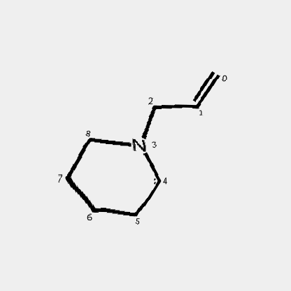 C=CCN1[C]CCCC1